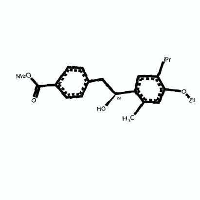 CCOc1cc(C)c([C@@H](O)Cc2ccc(C(=O)OC)cc2)cc1C(C)C